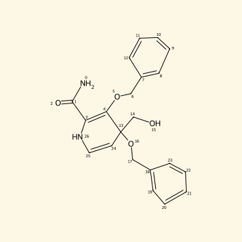 NC(=O)C1=C(OCc2ccccc2)C(CO)(OCc2ccccc2)C=CN1